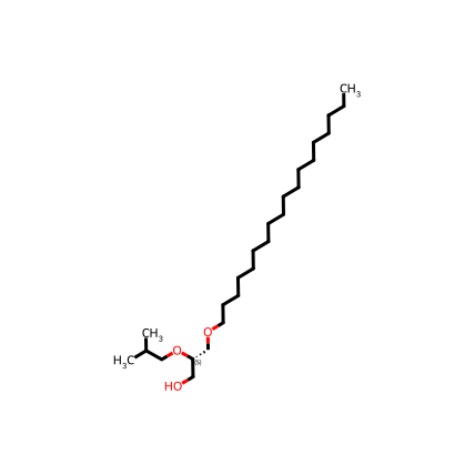 CCCCCCCCCCCCCCCCCCOC[C@H](CO)OCC(C)C